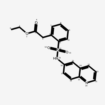 CCOC(=O)Cc1ccccc1S(=O)(=O)Nc1ccc2ncccc2c1